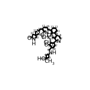 COc1cc(-c2nccc(-c3cccc(-c4ccc(CN5CC6(CNC(=O)C6)C5)c(OC)n4)c3Cl)c2Cl)ccc1CN[C@H]1C[C@@](C)(O)C1